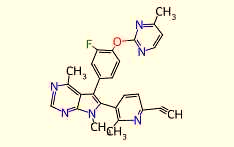 C#Cc1ccc(-c2c(-c3ccc(Oc4nccc(C)n4)c(F)c3)c3c(C)ncnc3n2C)c(C)n1